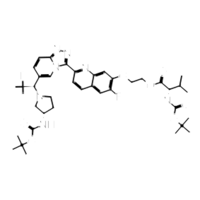 CC(C)[C@H](NC(=O)OC(C)(C)C)C(=O)OCCOc1cc2nc(-c3nnc4ccc([C@@H](N5CC[C@H](NC(=O)OC(C)(C)C)C5)C(F)(F)F)cn34)ccc2cc1F